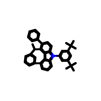 CC1c2cccc(c2)-c2cccc3c2c2c1c(-c1ccccc1)ccc2n3-c1cc(C(C)(C)C)cc(C(C)(C)C)c1